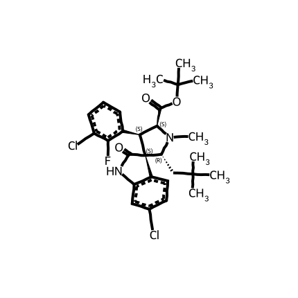 CN1[C@H](C(=O)OC(C)(C)C)[C@H](c2cccc(Cl)c2F)[C@@]2(C(=O)Nc3cc(Cl)ccc32)[C@H]1CC(C)(C)C